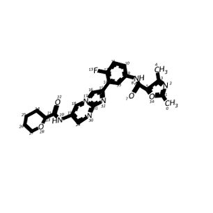 Cc1nc(C)c(C(=O)Nc2ccc(F)c(-c3cn4cc(NC(=O)C5CCCCO5)cnc4n3)c2)o1